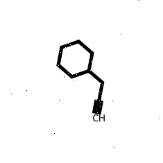 C#CC[C]1CCCCC1